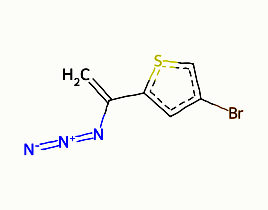 C=C(N=[N+]=[N-])c1cc(Br)cs1